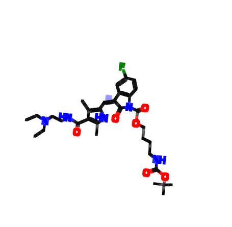 CCN(CC)CCNC(=O)c1c(C)[nH]c(/C=C2\C(=O)N(C(=O)OCCCCNC(=O)OC(C)(C)C)c3ccc(F)cc32)c1C